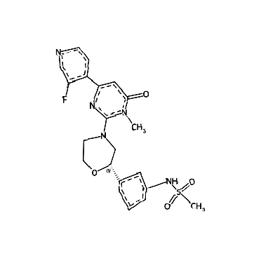 Cn1c(N2CCO[C@@H](c3cccc(NS(C)(=O)=O)c3)C2)nc(-c2ccncc2F)cc1=O